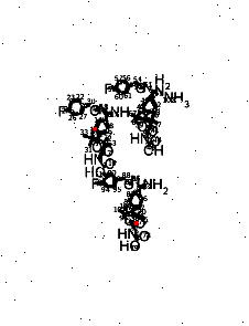 CC(C)(C)C(OC(=O)NC(=O)O)(c1ccc(/C(N)=N\OCc2ccc(F)cc2)cc1)C(C)(C)C.CC(C)(C)C(OC(=O)NC(=O)O)(c1ccc(/C(N)=N\OCc2ccc(F)cc2)cc1)C(C)(C)C.CC(C)(C)C(OC(=O)NC(=O)O)(c1ccc(/C(N)=N\OCc2ccc(F)cc2)cc1)C(C)(C)C.N